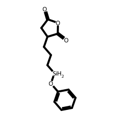 O=C1CC(CCC[SiH2]Oc2ccccc2)C(=O)O1